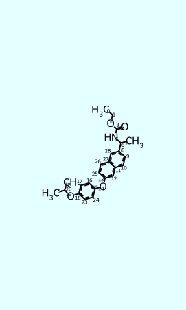 CCOC(=O)NC(C)c1ccc2cc(Oc3ccc(OC(C)C)cc3)ccc2c1